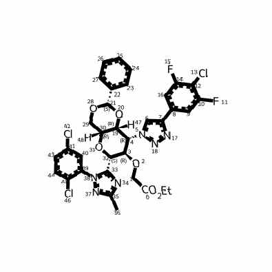 CCOC(=O)CO[C@@H]1[C@@H](n2cc(-c3cc(F)c(Cl)c(F)c3)nn2)[C@H]2O[C@@H](c3ccccc3)OC[C@H]2O[C@H]1c1nc(C)nn1-c1cc(Cl)ccc1Cl